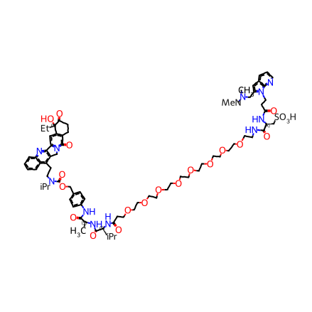 CC[C@@]1(O)C(=O)CCc2c1cc1n(c2=O)Cc2c-1nc1ccccc1c2CCN(C(=O)OCc1ccc(NC(=O)[C@H](C)NC(=O)[C@@H](NC(=O)CCOCCOCCOCCOCCOCCOCCOCCOCCNC(=O)[C@H](CS(=O)(=O)O)NC(=O)CCn2c(CN(C)NC)cc3cccnc32)C(C)C)cc1)C(C)C